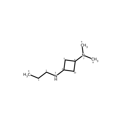 CCCNC1CC(N(C)C)C1